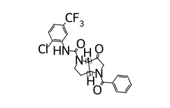 O=C1CN(C(=O)c2ccccc2)[C@H]2CCN(C(=O)Nc3cc(C(F)(F)F)ccc3Cl)[C@H]12